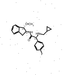 CO[C@H]1c2ccccc2C[C@@H]1NC(=O)[C@@H](NCC1CC1)c1ccc(F)cc1